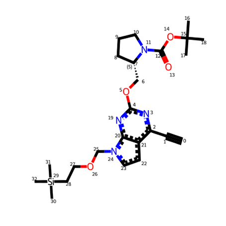 C#Cc1nc(OC[C@@H]2CCCN2C(=O)OC(C)(C)C)nc2c1ccn2COCC[Si](C)(C)C